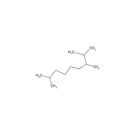 [CH2]C(C)CCCCC(C)C(C)C